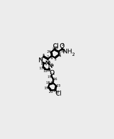 NC(=O)c1ccc(-c2cnc3ccc(OCCc4cccc(Cl)c4)nn23)cc1Cl